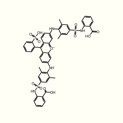 Cc1cc(S(=O)(=O)Nc2ccccc2C(=O)O)cc(C)c1Nc1ccc2c(-c3ccccc3S(=O)(=O)O)c3ccc(Nc4c(C)cc(S(=O)(=O)Nc5ccccc5C(=O)O)cc4C)cc3[o+]c2c1